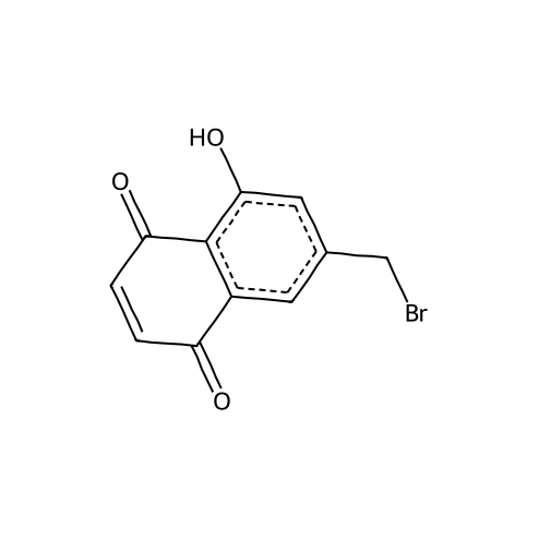 O=C1C=CC(=O)c2c(O)cc(CBr)cc21